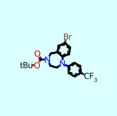 CC(C)(C)OC(=O)N1CCN(c2ccc(C(F)(F)F)cc2)c2ccc(Br)cc2C1